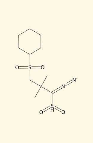 CC(C)(CS(=O)(=O)C1CCCCC1)C(=[N+]=[N-])[SH](=O)=O